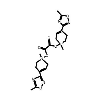 Cc1nc(C2=CC[N+](C)(OC(=O)C(=O)O[N+]3(C)CC=C(c4noc(C)n4)CC3)CC2)no1